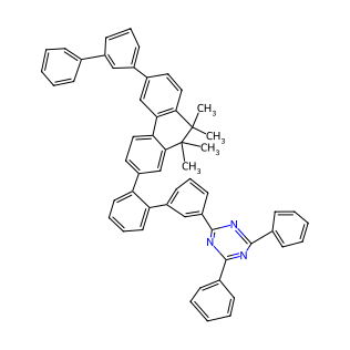 CC1(C)c2ccc(-c3cccc(-c4ccccc4)c3)cc2-c2ccc(-c3ccccc3-c3cccc(-c4nc(-c5ccccc5)nc(-c5ccccc5)n4)c3)cc2C1(C)C